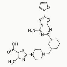 Cc1nc(N2CCN(CC3CCCN(c4nc(N)n5nc(-c6ccco6)nc5n4)C3)CC2)sc1C(=O)O